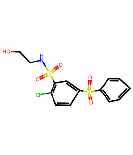 O=S(=O)(NCCO)c1cc(S(=O)(=O)c2ccccc2)ccc1Cl